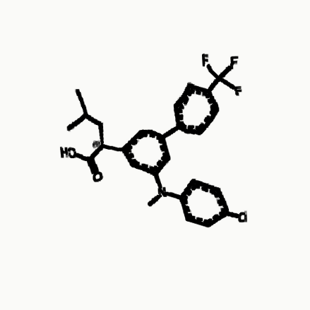 CC(C)C[C@H](C(=O)O)c1cc(-c2ccc(C(F)(F)F)cc2)cc(N(C)c2ccc(Cl)cc2)c1